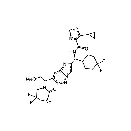 COCC(c1cnn2cc(C(NC(=O)c3nonc3C3CC3)C3CCC(F)(F)CC3)nc2c1)N1CC(F)(F)CNC1=O